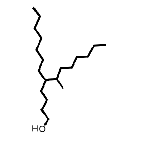 CCCCCCCC(CCCCO)C(C)CCCCCC